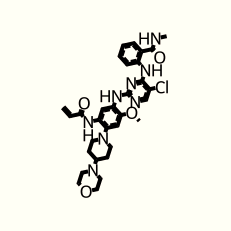 C=CC(=O)Nc1cc(Nc2ncc(Cl)c(Nc3ccccc3C(=O)NC)n2)c(OC)cc1N1CCC(N2CCOCC2)CC1